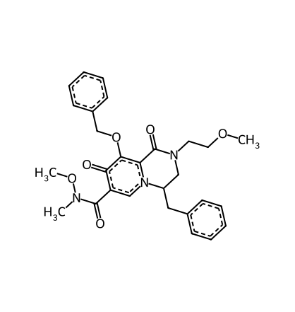 COCCN1CC(Cc2ccccc2)n2cc(C(=O)N(C)OC)c(=O)c(OCc3ccccc3)c2C1=O